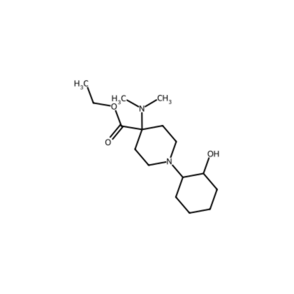 CCOC(=O)C1(N(C)C)CCN(C2CCCCC2O)CC1